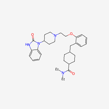 CCN(CC)C(=O)C1CCC(Cc2ccccc2OCCN2CCC(n3c(=O)[nH]c4ccccc43)CC2)CC1